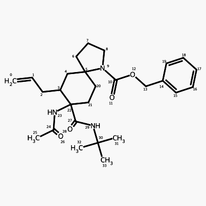 C=CCC1CC2(CCCN2C(=O)OCc2ccccc2)CCC1(NC(C)=O)C(=O)NC(C)(C)C